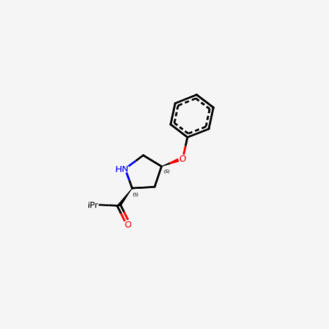 CC(C)C(=O)[C@@H]1C[C@H](Oc2ccccc2)CN1